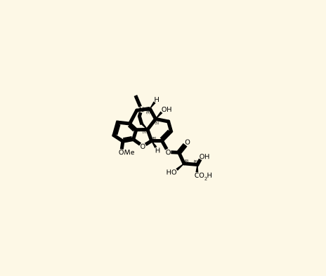 COc1ccc2c3c1O[C@H]1C(OC(=O)[C@H](O)[C@@H](O)C(=O)O)=CC[C@@]4(O)[C@@H](C2)N(C)CC[C@]314